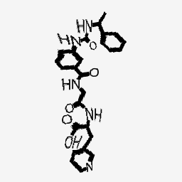 CC(NC(=O)Nc1cccc(C(=O)NCC(=O)NC(Cc2cccnc2)C(=O)O)c1)c1ccccc1